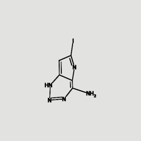 Nc1nn[nH]c2cc(I)nc1-2